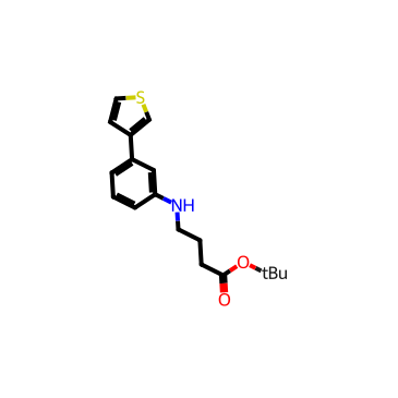 CC(C)(C)OC(=O)CCCNc1cccc(-c2ccsc2)c1